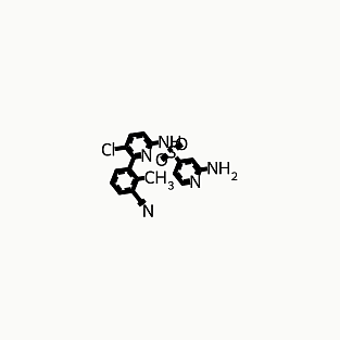 Cc1c(C#N)cccc1-c1nc(NS(=O)(=O)c2ccnc(N)c2)ccc1Cl